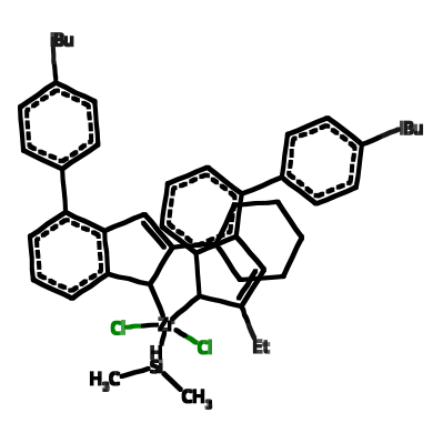 CCC1=Cc2c(-c3ccc(C(C)CC)cc3)cccc2[CH]1[Zr]([Cl])([Cl])([CH]1C(C2CCCCC2)=Cc2c(-c3ccc(C(C)CC)cc3)cccc21)[SiH](C)C